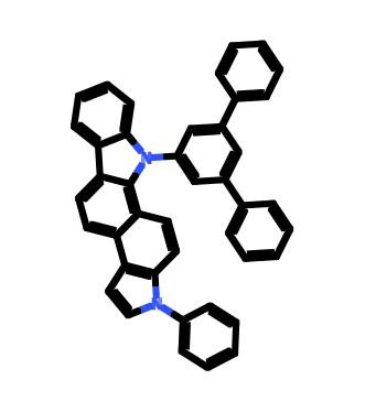 c1ccc(-c2cc(-c3ccccc3)cc(-n3c4ccccc4c4ccc5c6ccn(-c7ccccc7)c6ccc5c43)c2)cc1